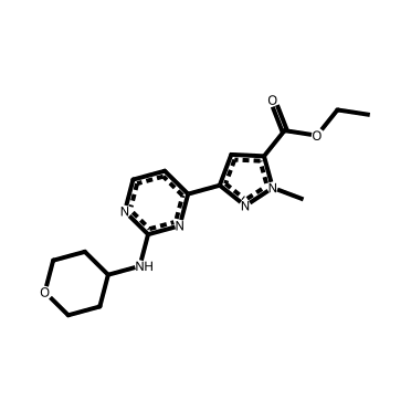 CCOC(=O)c1cc(-c2ccnc(NC3CCOCC3)n2)nn1C